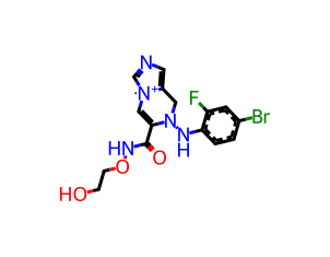 O=C(NOCCO)C1=C[N+]2C=NC=C2CN1Nc1ccc(Br)cc1F